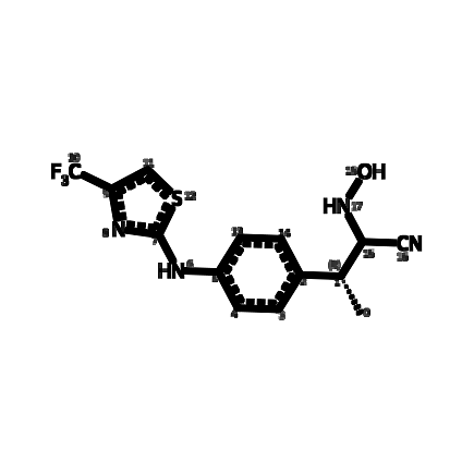 C[C@H](c1ccc(Nc2nc(C(F)(F)F)cs2)cc1)C(C#N)NO